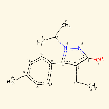 CCc1c(O)nn(C(C)C)c1-c1ccc(C)cc1